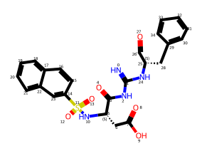 N=C(NC(=O)[C@H](CC(=O)O)NS(=O)(=O)c1ccc2ccccc2c1)N[C@H]([C]=O)Cc1ccccc1